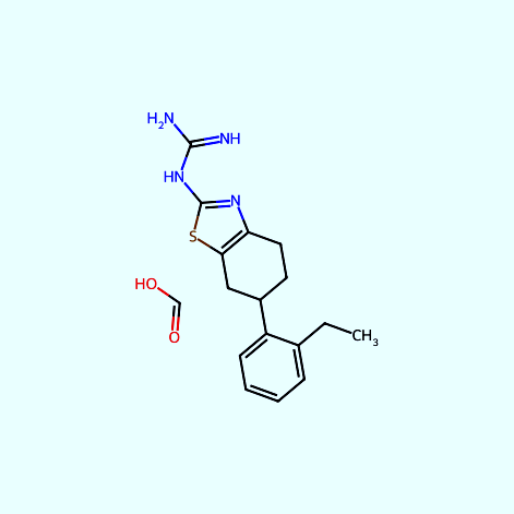 CCc1ccccc1C1CCc2nc(NC(=N)N)sc2C1.O=CO